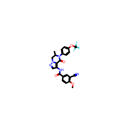 COc1ccc(C(=O)Nc2cnn3c2C(=O)N(c2ccc(OC(F)(F)F)cc2)C(C)C3)cc1C#N